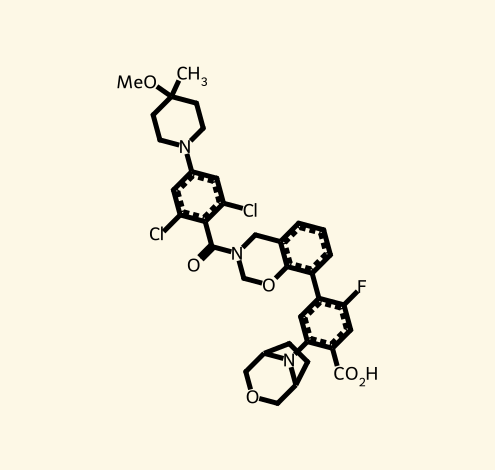 COC1(C)CCN(c2cc(Cl)c(C(=O)N3COc4c(cccc4-c4cc(N5C6CCC5COC6)c(C(=O)O)cc4F)C3)c(Cl)c2)CC1